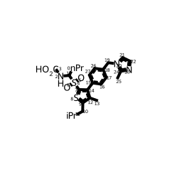 CCCC(NC(=O)O)S(=O)(=O)c1sc(CC(C)C)c(C)c1-c1ccc(Cn2ccnc2C)cc1